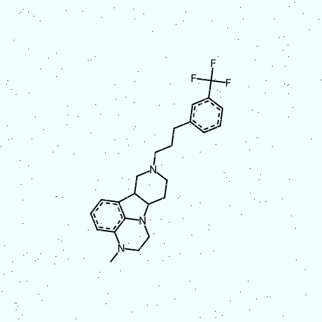 CN1CCN2c3c(cccc31)C1CN(CCCc3cccc(C(F)(F)F)c3)CCC12